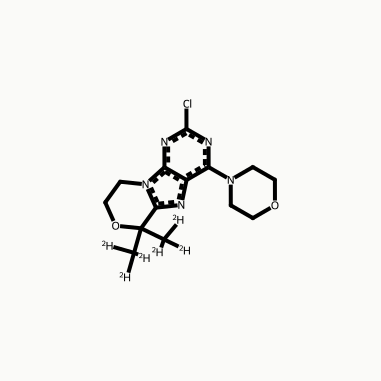 [2H]C([2H])([2H])C1(C([2H])([2H])[2H])OCCn2c1nc1c(N3CCOCC3)nc(Cl)nc12